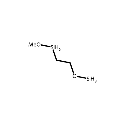 CO[SiH2]CCO[SiH3]